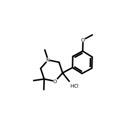 COc1cccc(C2(C)CN(C)CC(C)(C)O2)c1.Cl